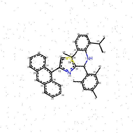 Cc1cc(C)c(C(Nc2c(C(C)C)cccc2C(C)C)c2nc(-c3c4ccccc4cc4ccccc34)cs2)c(C)c1